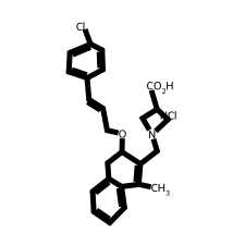 CC1=C(CN2CC(C(=O)O)C2)C(OCC=Cc2ccc(Cl)cc2)Cc2ccccc21.Cl